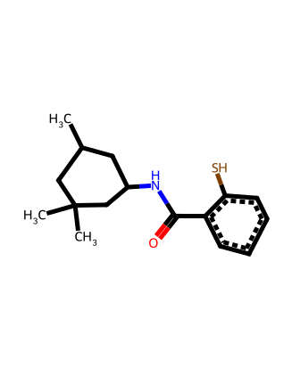 CC1CC(NC(=O)c2ccccc2S)CC(C)(C)C1